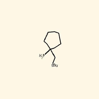 CC(C)(C)CC1(P)CCCC1